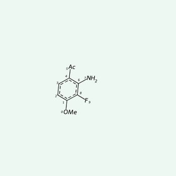 COc1ccc(C(C)=O)c(N)c1F